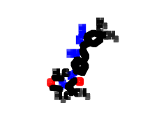 CC(C)C(C(=O)N(C)c1ccc2cc(-c3n[nH]c4c3CCC(C)(C)C4)[nH]c2c1)N1CCOCC1